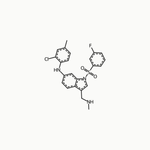 CNCc1cn(S(=O)(=O)c2cccc(F)c2)c2cc(Nc3ccc(C)cc3Cl)ccc12